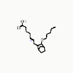 CCCCCOC1C2CCC(C2)C1C/C=C/CCCC(=O)O